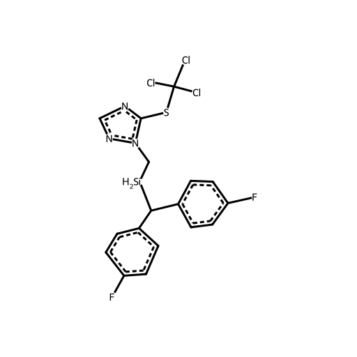 Fc1ccc(C([SiH2]Cn2ncnc2SC(Cl)(Cl)Cl)c2ccc(F)cc2)cc1